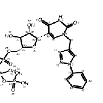 O=c1[nH]c(=O)n(Cc2cn(-c3ccccc3)nn2)cc1[C@@H]1O[C@H](COP(=O)(O)OP(=O)(O)OP(=O)(O)O)C(O)[C@@H]1O